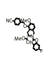 COC(=O)[C@@H]1Cc2c(ccc(OC)c2OCc2ccc(C#N)cc2)CN1c1nc2ccc(F)cc2o1